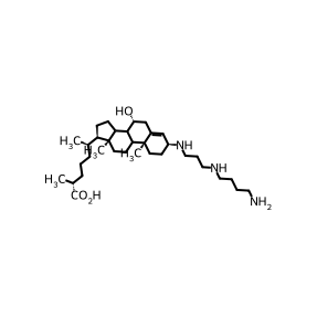 C[C@H](CCC[C@@H](C)[C@H]1CCC2C3C(CC[C@@]21C)[C@@]1(C)CC[C@H](NCCCNCCCCN)C=C1C[C@H]3O)C(=O)O